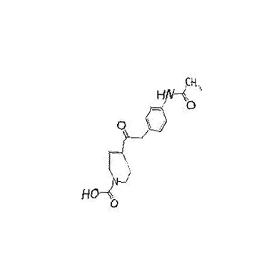 CC(=O)Nc1ccc(CC(=O)C2CCN(C(=O)O)CC2)cc1